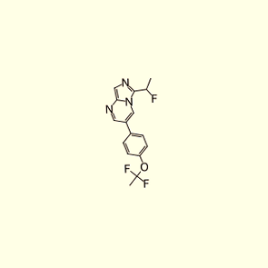 CC(F)c1ncc2ncc(-c3ccc(OC(C)(F)F)cc3)cn12